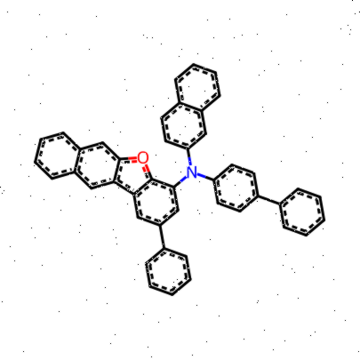 c1ccc(-c2ccc(N(c3ccc4ccccc4c3)c3cc(-c4ccccc4)cc4c3oc3cc5ccccc5cc34)cc2)cc1